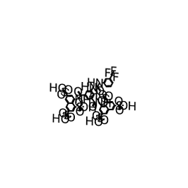 O=C(Nc1cc(C(=O)Nc2cc(S(=O)(=O)O)cc3cc(S(=O)(=O)O)cc(S(=O)(=O)O)c23)cc(C(=O)Nc2cc(S(=O)(=O)O)cc3cc(S(=O)(=O)O)cc(S(=O)(=O)O)c23)c1)Nc1cccc(C(F)(F)F)c1